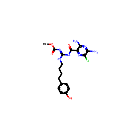 CC(C)(C)OC(=O)/N=C(\NCCCCc1ccc(O)cc1)NC(=O)c1nc(Cl)c(N)nc1N